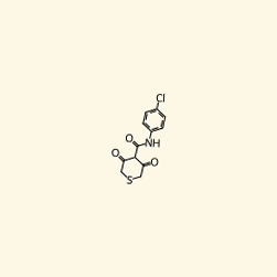 O=C1CSCC(=O)C1C(=O)Nc1ccc(Cl)cc1